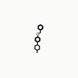 CC1CCC(c2ccc(OCc3ccccc3)cc2)CC1